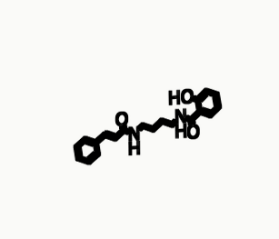 O=C(C=Cc1ccccc1)NCCCCNC(=O)c1ccccc1O